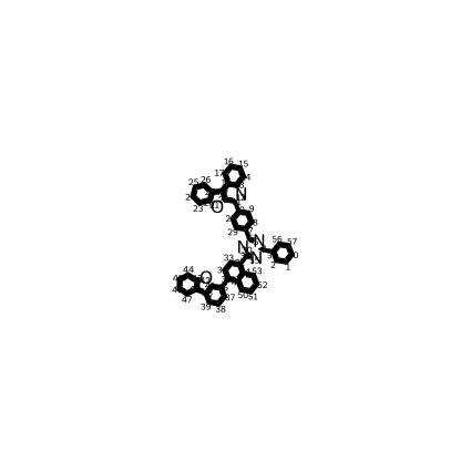 c1ccc(-c2nc(-c3ccc(-c4nc5ccccc5c5c4oc4ccccc45)cc3)nc(-c3ccc(-c4cccc5c4oc4ccccc45)c4ccccc34)n2)cc1